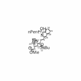 CCCCCC(O)c1nc(/C=C/C(O[Si](C)(C)C(C)(C)C)C(CCCC(=O)OC)O[Si](C)(C)C(C)(C)C)cc2ccccc12